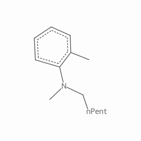 CCCCCCN(C)c1ccccc1C